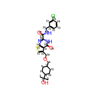 CC(C)(O)C1CCC(COCc2csc3nc(C(=O)NCc4cccc(Cl)c4)[nH]c(=O)c23)CC1